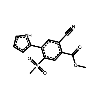 COC(=O)c1cc(S(C)(=O)=O)c(-c2ccc[nH]2)cc1C#N